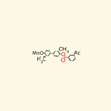 COc1ccc(-c2ccc(OC(=O)c3cccc(C(C)=O)c3)c(C)c2)cc1C